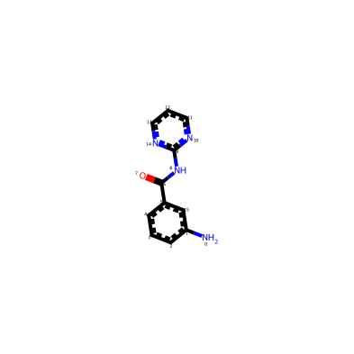 Nc1cccc(C(=O)Nc2ncccn2)c1